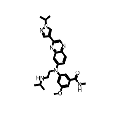 CNC(=O)c1cc(OC)cc(N(CCNC(C)C)c2ccc3ncc(-c4cnn(C(C)C)c4)nc3c2)c1